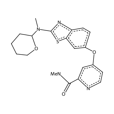 CNC(=O)c1cc(Oc2ccc3nc(N(C)C4CCCCO4)sc3c2)ccn1